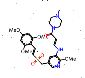 COc1cc(OC)c(C=CS(=O)(=O)Cc2cnc(OC)c(NC=CC(=O)N3CCN(C)CC3)c2)c(OC)c1